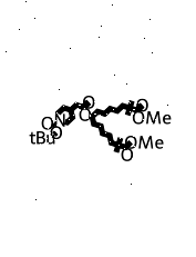 COC(=O)C(C)(C)CCCCCC(CCCCCC(C)(C)C(=O)OC)OC(=O)CC1CCN(C(=O)OC(C)(C)C)CC1